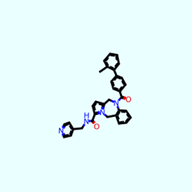 Cc1ccccc1-c1ccc(C(=O)N2Cc3ccc(C(=O)NCc4ccncc4)n3Cc3ccccc32)cc1